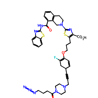 [N-]=[N+]=NCCCC(=O)N1CCN(CC#CC2C=CC(OCCCc3sc(N4CCc5cccc(C(=O)Nc6nc7ccccc7s6)c5C4)nc3C(=O)O)=C(F)C2)CC1